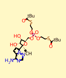 C#C[C@@]1(c2ccc3c(N)ncnn23)O[C@H](COP(=O)(OCCSC(=O)C(C)(C)C)OCCSC(=O)C(C)(C)C)[C@@H](O)[C@H]1O